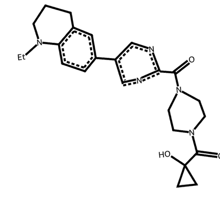 CCN1CCCc2cc(-c3cnc(C(=O)N4CCN(C(=O)C5(O)CC5)CC4)nc3)ccc21